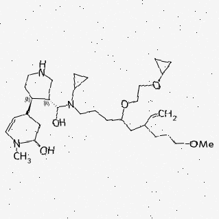 C=CC(CCCOC)CC(CCCN(C1CC1)C(O)[C@H]1CNCC[C@@H]1C1C=CN(C)C(O)C1)OCCOC1CC1